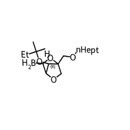 BC1OC2(COCCCCCCC)COC1[C@H]2OC(C)(C)CC